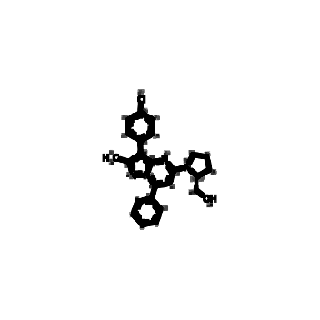 Cc1nn2c(-c3ccccc3)cc(N3CCC[C@H]3CO)nc2c1-c1ccc(Cl)cc1